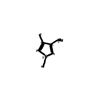 Cc1cn(C)cc1C(C)(C)C